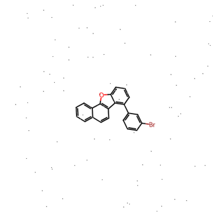 Brc1cccc(-c2cccc3oc4c5ccccc5ccc4c23)c1